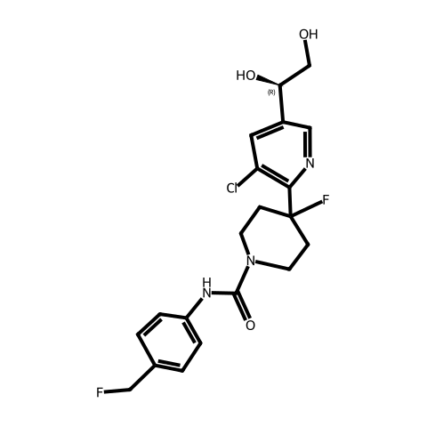 O=C(Nc1ccc(CF)cc1)N1CCC(F)(c2ncc([C@@H](O)CO)cc2Cl)CC1